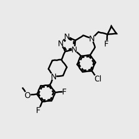 COc1cc(N2CCC(c3nnc4n3-c3ccc(Cl)cc3CN(CC3(F)CC3)C4)CC2)c(F)cc1F